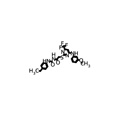 CCc1ccc(NC(=O)NC(=O)CSc2nc(Nc3cccc(OC)c3)cc(C(F)(F)F)n2)cc1